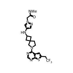 CNC(=O)Cn1cc(NC2CC3(CCN(c4ncnc5sc(CC(F)(F)F)cc45)C3)C2)cn1